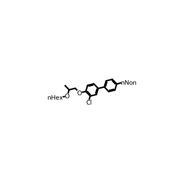 CCCCCCCCCc1ccc(-c2ccc(OCC(C)OCCCCCC)c(Cl)c2)cc1